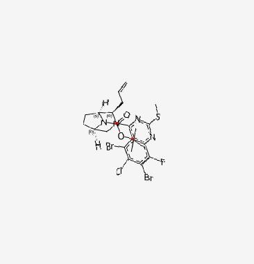 C=CC[C@@H]1[C@@H]2CC[C@H](CN1c1nc(SC)nc3c(F)c(Br)c(Cl)c(Br)c13)N2C(=O)OC(C)(C)C